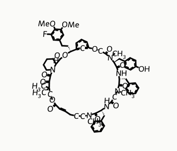 COc1cc(CC[C@H]2OC(=O)[C@@H]3CCCCN3C(=O)C(=O)C(C)(C)COC(=O)/C=C/CCCN(C)C(=O)[C@@H](Cc3ccccc3)NC(=O)CN(C)C(=O)[C@@H](Cc3ccccc3)NC(=O)[C@H](Cc3ccc(O)cc3)N(C)C(=O)COc3cccc2c3)cc(F)c1OC